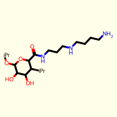 CC(C)OC1OC(C(=O)NCCCNCCCCN)C(C(C)C)C(O)C1O